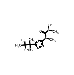 CCC(C)(c1nnc(N(C)C(=O)N(C)C(C)C)s1)C(C)(C)C#N